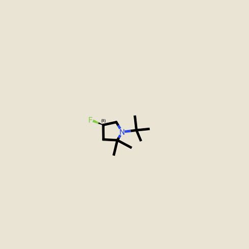 CC(C)(C)N1C[C@H](F)CC1(C)C